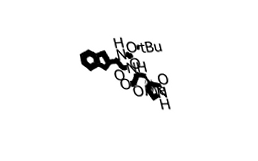 COC(=O)C(C[C@@H]1CCNC1=O)NC(=O)C(NC(=O)OC(C)(C)C)C1=Cc2ccccc2C1